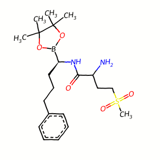 CC1(C)OB([C@H](CCCc2ccccc2)NC(=O)C(N)CCS(C)(=O)=O)OC1(C)C